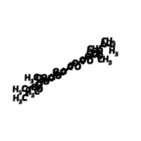 CCCCC(CC)COc1cc(OC)c(C(=O)Oc2ccc(C(=O)Oc3ccc(-c4ccc(OC(=O)c5ccc(OC(=O)c6cc(OC)c(OCC(CC)CCCC)cc6OC)cc5)cc4)cc3)cc2)cc1OC